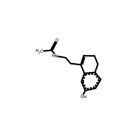 CC(=O)NCCC1=CCCc2ccc(O)cc21